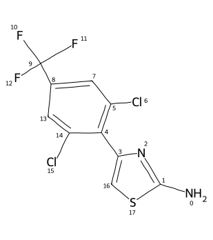 Nc1nc(-c2c(Cl)cc(C(F)(F)F)cc2Cl)cs1